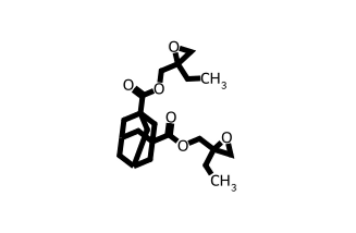 CCC1(COC(=O)C23CC4CC(C2)CC(C(=O)OCC2(CC)CO2)(C4)C3)CO1